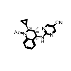 CC(=O)N1c2ccccc2[C@H](Nc2ncc(C#N)cn2)[C@@H](C)[C@@H]1C1CC1